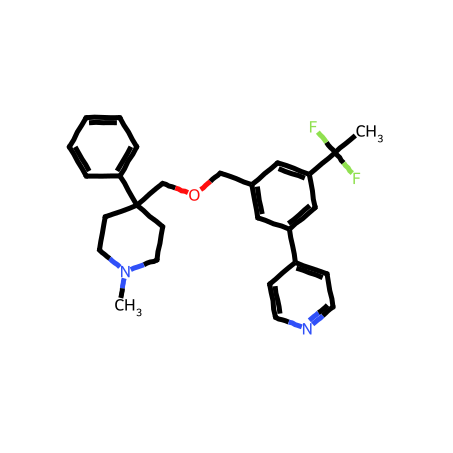 CN1CCC(COCc2cc(-c3ccncc3)cc(C(C)(F)F)c2)(c2ccccc2)CC1